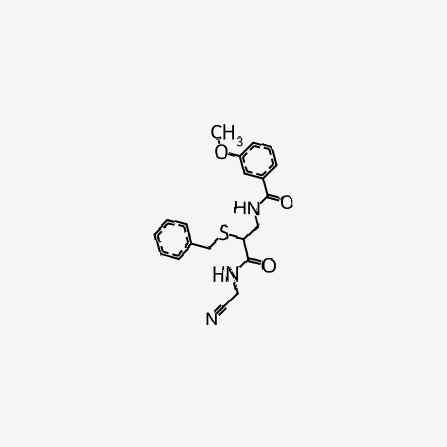 COc1cccc(C(=O)NCC(SCc2ccccc2)C(=O)NCC#N)c1